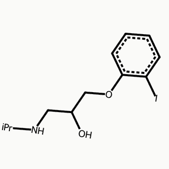 CC(C)NCC(O)COc1ccccc1I